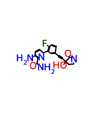 CN1CCC(O)(C#Cc2ccc(F)c(-c3ccc(N)c(C(N)=O)n3)c2)C1=O